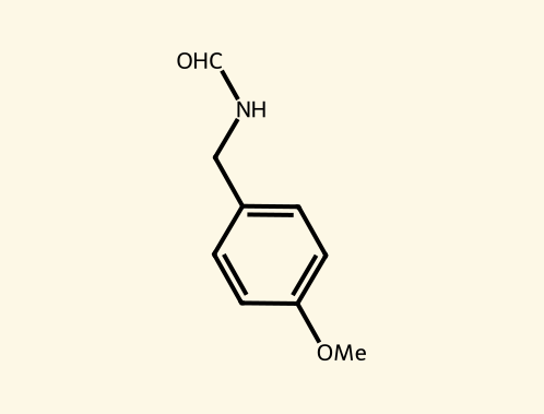 COc1ccc(CNC=O)cc1